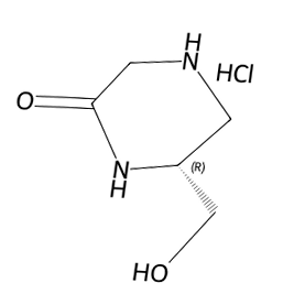 Cl.O=C1CNC[C@H](CO)N1